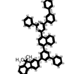 CC1(C)c2ccccc2-c2ccc(-c3cc(-c4ccccc4)cc(-c4ccc(-c5cc(-c6cccc(-c7ccccc7)c6)nc(-c6ccccc6)n5)c5ccccc45)c3)cc21